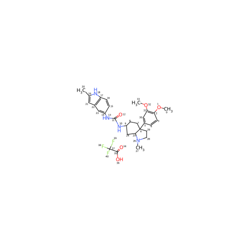 COc1ccc(C23CCC(NC(=O)Nc4ccc5[nH]c(C)cc5c4)CC2N(C)CC3)cc1OC.O=C(O)C(F)(F)F